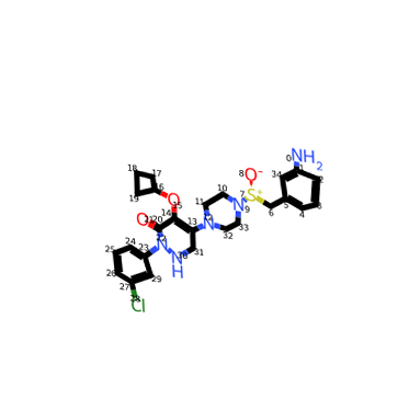 Nc1cccc(C[S@@+]([O-])N2CCN(C3=C(OC4CCC4)C(=O)N(c4cccc(Cl)c4)NC3)CC2)c1